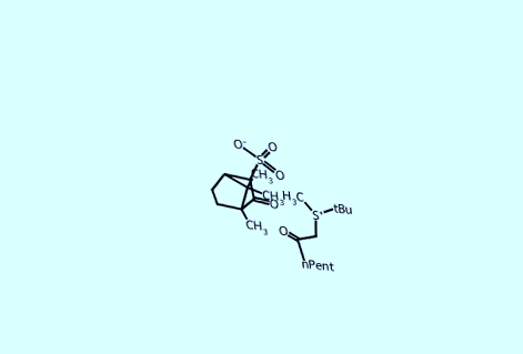 CC12CCC(C(S(=O)(=O)[O-])C1=O)C2(C)C.CCCCCC(=O)C[S+](C)C(C)(C)C